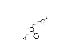 CC(C)c1cc(CNC(=O)c2cnc(OCC3CC3)c(-c3ccc(Cl)cc3)c2)no1